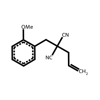 C=CCC(C#N)(C#N)Cc1ccccc1OC